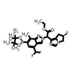 CCOC(=O)C(c1ncn2c1C[C@@H](F)C2)n1cc2c(C(F)F)cc(B3OC(C)(C)C(C)(C)O3)c(C)c2n1